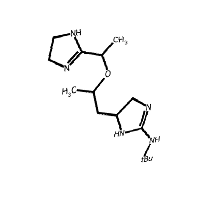 CC(CC1CN=C(NC(C)(C)C)N1)OC(C)C1=NCCN1